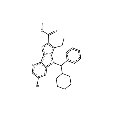 CCc1c(C(=O)OC)sc2c3ncc(Br)cc3n(C(c3ccccc3)C3CCOCC3)c12